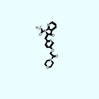 CC(=O)N1C(=Cc2ccc(OCC(=O)N3CCOCC3)cn2)C(=O)c2cccnc21